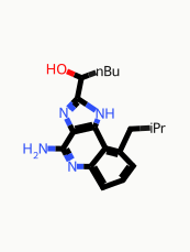 CCCCC(O)c1nc2c(N)nc3cccc(CC(C)C)c3c2[nH]1